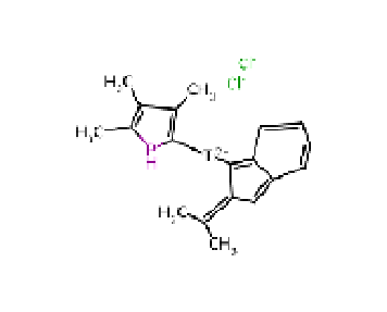 CC(C)=C1C=c2ccccc2=[C]1[Ti+2][c]1[pH]c(C)c(C)c1C.[Cl-].[Cl-]